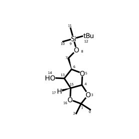 CC1(C)OC2O[C@H](CO[Si](C)(C)C(C)(C)C)C(O)[C@H]2O1